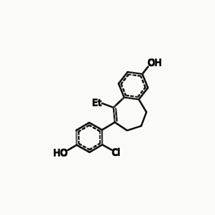 CCC1=C(c2ccc(O)cc2Cl)CCCc2cc(O)ccc21